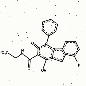 O=C(O)CNC(=O)c1c(O)c2cc3c(F)cccc3n2n(-c2ccccc2)c1=O